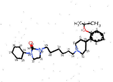 CC(C)Oc1ccccc1C1CCN(CCCCCCN2CCN(C3CCCCC3)C2=O)CC1